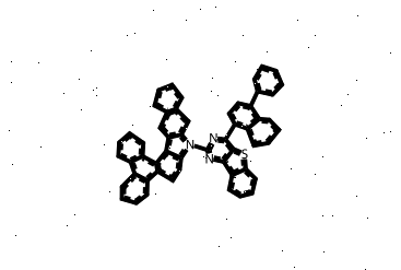 c1ccc(-c2ccc(-c3nc(-n4c5cc6ccccc6cc5c5c6c7ccccc7c7ccccc7c6ccc54)nc4c3sc3ccccc34)c3ccccc23)cc1